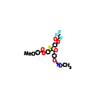 COc1ccc(C(=O)Oc2ccc3c(C(=O)c4ccc(OCCN5CCC(C)C5)cc4)c(-c4ccc(OC(=O)C(F)C(F)CF)cc4)sc3c2)cc1